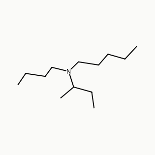 CCCCCN(CCCC)C(C)CC